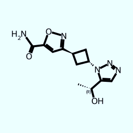 C[C@@H](O)c1cnnn1[C@H]1C[C@H](c2cc(C(N)=O)on2)C1